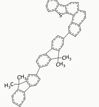 CC1(C)c2ccccc2-c2ccc(-c3ccc4c(c3)C(C)(C)c3cc(-c5ccc6ccc7ccc8c9ccccc9sc8c7c6c5)ccc3-4)cc21